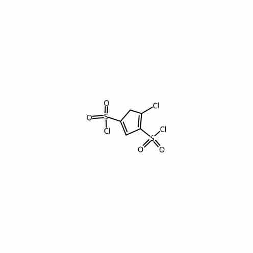 O=S(=O)(Cl)C1=CC(S(=O)(=O)Cl)=C(Cl)C1